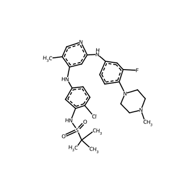 Cc1cnc(Nc2ccc(N3CCN(C)CC3)c(F)c2)cc1Nc1ccc(Cl)c(NS(=O)(=O)C(C)(C)C)c1